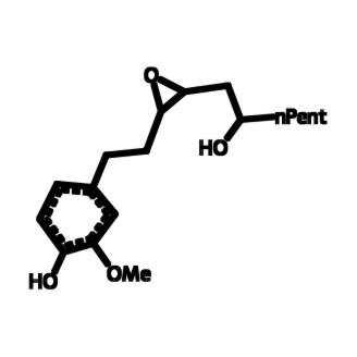 CCCCCC(O)CC1OC1CCc1ccc(O)c(OC)c1